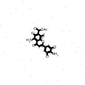 CC(=O)OC(Cl)c1c(F)c(N)c2c(=O)cc(-c3cc(Cl)c(N)c(Cl)c3)oc2c1F